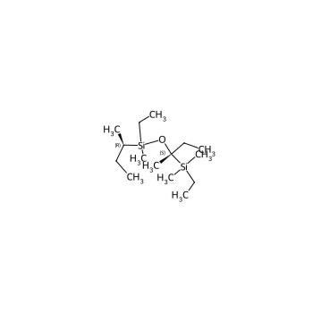 CC[C@@H](C)[Si](C)(CC)O[C@](C)(CC)[Si](C)(C)CC